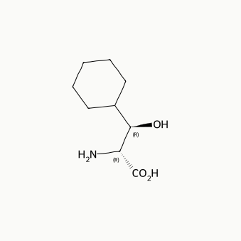 N[C@@H](C(=O)O)[C@H](O)C1CCCCC1